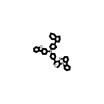 c1cc(-c2ccc(N(c3ccc(-c4cccc5ccccc45)cc3)c3ccc4c(c3)oc3ccccc34)cc2)c2c(c1)-n1c3ccccc3c3cccc(c31)S2